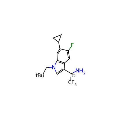 CC(C)(C)Cn1cc([C@H](N)C(F)(F)F)c2cc(F)c(C3CC3)cc21